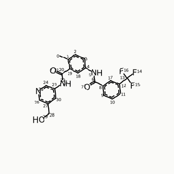 Cc1ccc(NC(=O)c2cccc(C(F)(F)F)c2)cc1C(=O)Nc1cncc(CO)c1